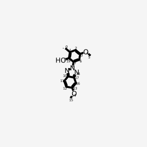 [CH2]c1cc(OC)cc(-n2nc3ccc(OC)cc3n2)c1O